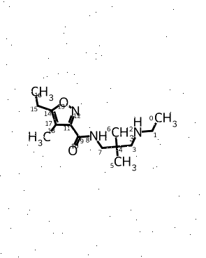 CCNCC(C)(C)CNC(=O)c1noc(CC)c1C